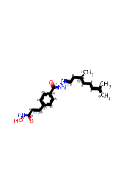 CC(C)=CCC[C@H](C)C/C=N/NC(=O)c1ccc(/C=C/C(=O)NO)cc1